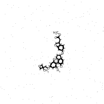 COC(=O)CC1COc2cc(O[C@@H]3CCc4c3ccc(Cl)c4-c3c(C)cc(OCC4(C)COC4)cc3C)ccc21